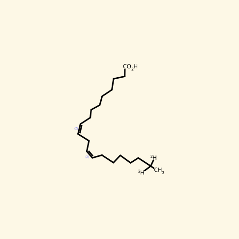 [2H]C([2H])(C)CCCCC/C=C\C/C=C\CCCCCCCC(=O)O